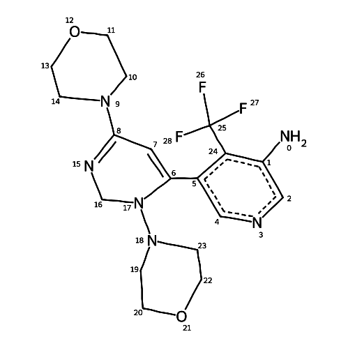 Nc1cncc(C2=CC(N3CCOCC3)=NCN2N2CCOCC2)c1C(F)(F)F